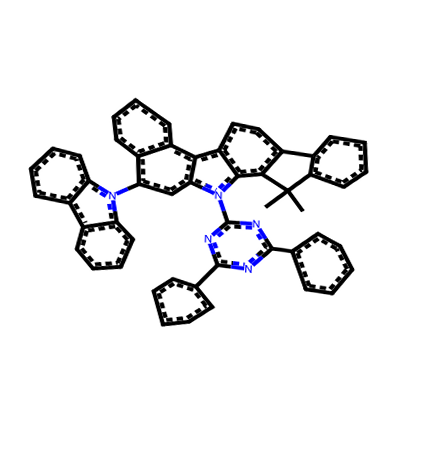 CC1(C)c2ccccc2-c2ccc3c4c5ccccc5c(-n5c6ccccc6c6ccccc65)cc4n(-c4nc(-c5ccccc5)nc(-c5ccccc5)n4)c3c21